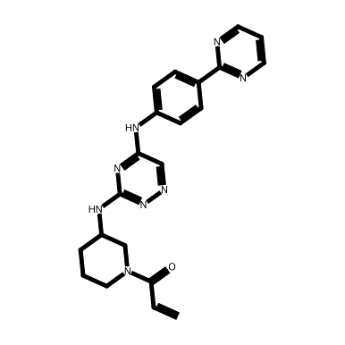 C=CC(=O)N1CCCC(Nc2nncc(Nc3ccc(-c4ncccn4)cc3)n2)C1